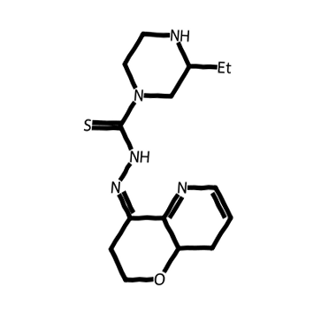 CCC1CN(C(=S)N/N=C2/CCOC3CC=CN=C23)CCN1